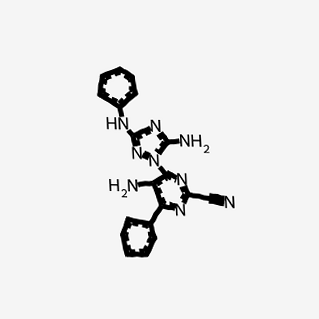 N#Cc1nc(-c2ccccc2)c(N)c(-n2nc(Nc3ccccc3)nc2N)n1